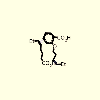 CC/C=C\CCCC(=O)O.CC/C=C\CCOc1ccccc1C(=O)O